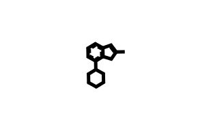 CC1=Cc2cccc(C3CCCCC3)c2C1